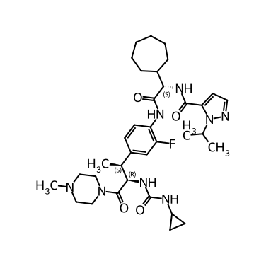 CC(C)n1nccc1C(=O)N[C@H](C(=O)Nc1ccc([C@H](C)[C@@H](NC(=O)NC2CC2)C(=O)N2CCN(C)CC2)cc1F)C1CCCCCC1